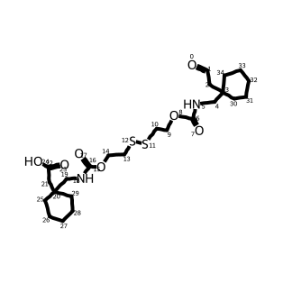 O=CCC1(CNC(=O)OCCSSCCOC(=O)NCC2(CC(=O)O)CCCCC2)CCCCC1